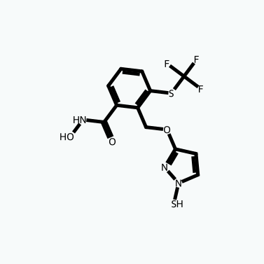 O=C(NO)c1cccc(SC(F)(F)F)c1COc1ccn(S)n1